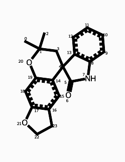 CC1(C)CC2(C(=O)Nc3ccccc32)c2cc3c(cc2O1)OCC3